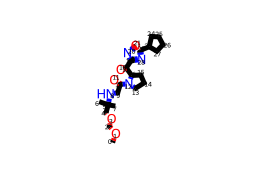 COCOCC(C)(C)NCC(=O)N1CCCC1C(=O)c1noc(C2CCCC2)n1